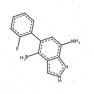 Bc1c(-c2ccccc2F)cc(N)c2n[nH]cc12